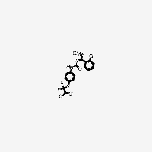 COC(=NC(=O)Nc1ccc(SC(F)(F)C(Cl)Cl)cc1)c1ccccc1Cl